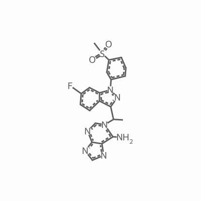 CC(c1nn(-c2cccc(S(C)(=O)=O)c2)c2cc(F)ccc12)n1cnc2ncnc-2c1N